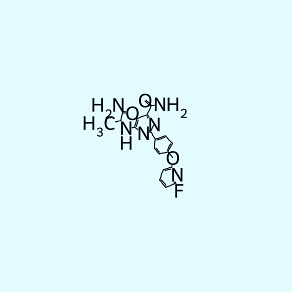 C[C@H](Nc1cc(C(N)=O)nc(-c2ccc(Oc3cccc(F)n3)cc2)n1)C(N)=O